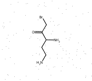 NCCC(N)C(=O)CBr